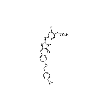 CC(C)c1ccc(COc2ccc(C=C3SC(=Nc4ccc(CC(=O)O)c(F)c4)N(C)C3=O)cc2)cc1